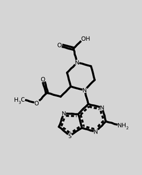 COC(=O)CC1CN(C(=O)O)CCN1c1nc(N)nc2scnc12